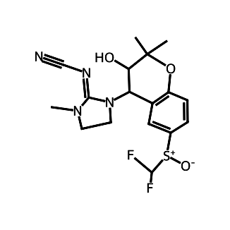 CN1CCN(C2c3cc([S+]([O-])C(F)F)ccc3OC(C)(C)C2O)C1=NC#N